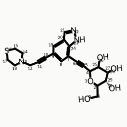 OCC1OC(C#Cc2cc(C#CCN3CCSCC3)cc3cn[nH]c23)C(O)C(O)[C@@H]1O